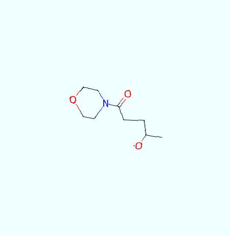 CC([O])CCC(=O)N1CCOCC1